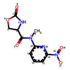 CN(C(=O)C1COC(=O)N1)c1cccc([N+](=O)[O-])n1